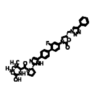 CC(C)[C@H](NC(=O)O)C(=O)N1CCC[C@H]1c1ncc(-c2ccc(-c3ccc(N4C[C@H](Cn5cc(-c6ccccc6)nn5)OC4=O)cc3F)cc2)[nH]1